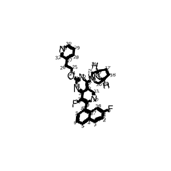 Fc1ccc2cccc(-c3ncc4c(N5C[C@H]6CC[C@@H](C5)N6)nc(OCCc5cccnc5)nc4c3F)c2c1